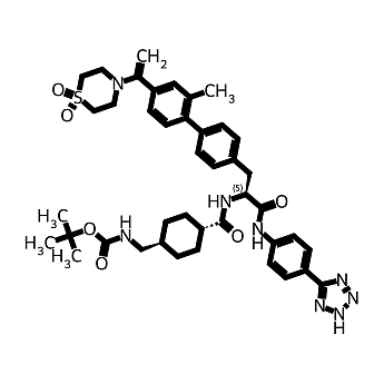 C=C(c1ccc(-c2ccc(C[C@H](NC(=O)[C@H]3CC[C@H](CNC(=O)OC(C)(C)C)CC3)C(=O)Nc3ccc(-c4nn[nH]n4)cc3)cc2)c(C)c1)N1CCS(=O)(=O)CC1